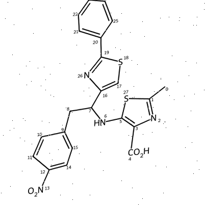 Cc1nc(C(=O)O)c(NC(Cc2ccc([N+](=O)[O-])cc2)c2csc(-c3ccccc3)n2)s1